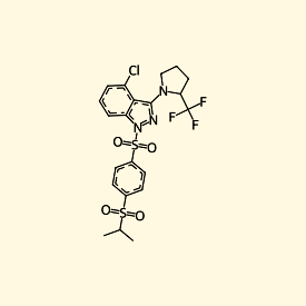 CC(C)S(=O)(=O)c1ccc(S(=O)(=O)n2nc(N3CCCC3C(F)(F)F)c3c(Cl)cccc32)cc1